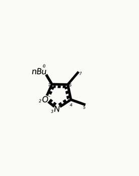 CCCCc1onc(C)c1C